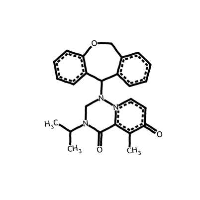 Cc1c2n(ccc1=O)N(C1c3ccccc3COc3ccccc31)CN(C(C)C)C2=O